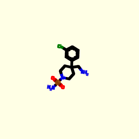 NCC1(c2cccc(Cl)c2)CCN(S(N)(=O)=O)CC1